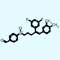 Cc1ccc(C=C(CCC[S+]([O-])c2ccc(C=O)cc2)c2cc(F)cc(F)c2)cc1C